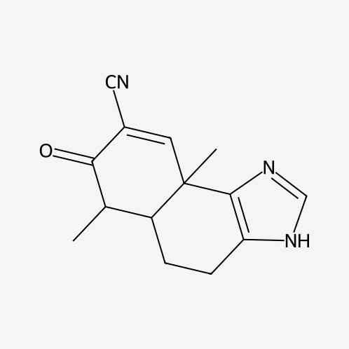 CC1C(=O)C(C#N)=CC2(C)c3nc[nH]c3CCC12